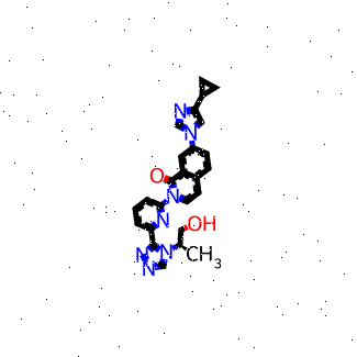 C[C@H](CO)n1cnnc1-c1cccc(-n2ccc3ccc(-n4cnc(C5CC5)c4)cc3c2=O)n1